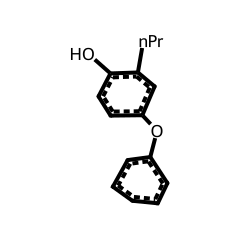 CCCc1cc(Oc2ccccc2)ccc1O